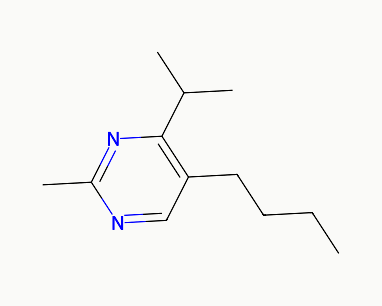 CCCCc1cnc(C)nc1C(C)C